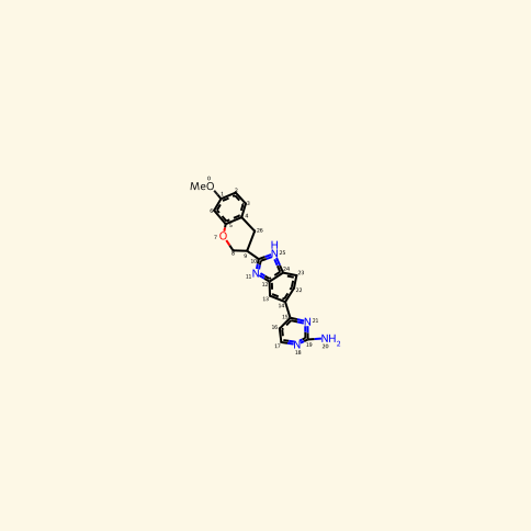 COc1ccc2c(c1)OCC(c1nc3cc(-c4ccnc(N)n4)ccc3[nH]1)C2